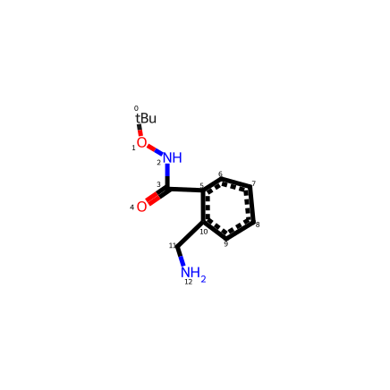 CC(C)(C)ONC(=O)c1ccccc1CN